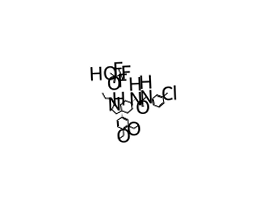 CCCN1CC[C@]2(c3ccc(OC)c(OC)c3)CC[C@@H](NC(=O)Nc3cccc(Cl)c3)C[C@H]12.O=C(O)C(F)(F)F